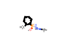 Cc1ccccc1[PH](=O)NNC(C)(C)C